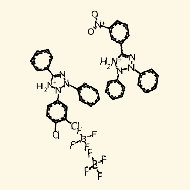 Clc1ccc(N2[NH2+]C(c3ccccc3)=NN2c2ccccc2)cc1Cl.F[B-](F)(F)F.F[B-](F)(F)F.O=[N+]([O-])c1cccc(C2=NN(c3ccccc3)N(c3ccccc3)[NH2+]2)c1